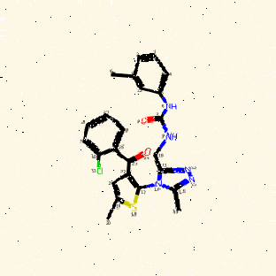 Cc1cccc(NC(=O)NCc2nnc(C)n2-c2sc(C)cc2C(=O)c2ccccc2Cl)c1